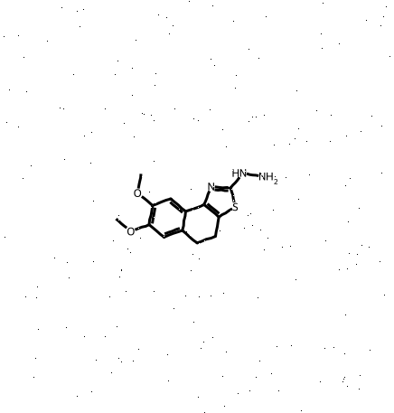 COc1cc2c(cc1OC)-c1nc(NN)sc1CC2